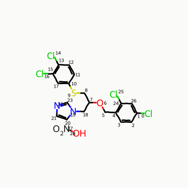 Clc1ccc(COC(CSc2ccc(Cl)c(Cl)c2)Cn2ccnc2)c(Cl)c1.O=[N+]([O-])O